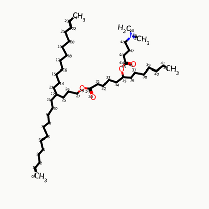 CCCCCCCCCCCCC(CCCCCCCCCCCC)CCCOC(=O)CCCCC(CCCCCCC)OC(=O)CCCN(C)C